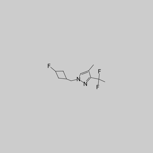 Cc1cn(CC2CC(F)C2)nc1C(C)(F)F